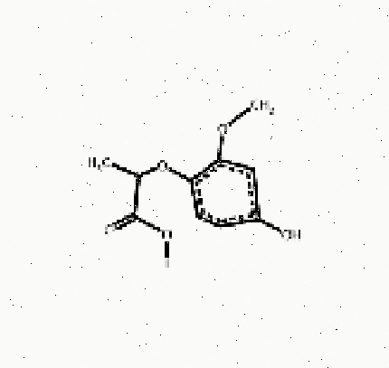 COc1cc(O)ccc1OC(C)C(=O)OI